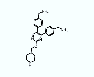 NCc1ccc(-c2cnc(OCC3CCNCC3)nc2-c2ccc(CN)cc2)cc1